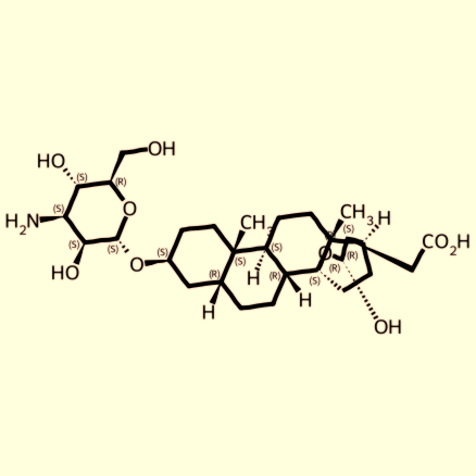 C[C@]12CC[C@H](O[C@H]3O[C@H](CO)[C@@H](O)[C@H](N)[C@@H]3O)C[C@H]1CC[C@@H]1[C@@H]2CC[C@]2(C)[C@@H]3CC[C@]12O[C@@H](O)[C@H]3CC(=O)O